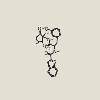 CC1OCC(=O)C1(C)NC(=O)C(Cc1cccc(O)c1)NC(=O)c1cc2ccccc2s1